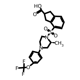 C[C@H]1CN(c2ccc(OC(F)(F)F)cc2)CCN1S(=O)(=O)c1cccc2c1CC(C(=O)O)C2